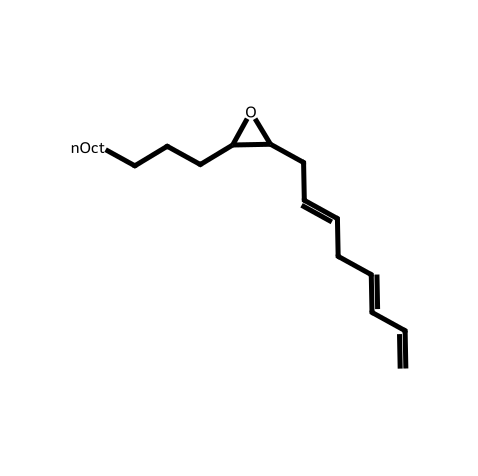 C=CC=CCC=CCC1OC1CCCCCCCCCCC